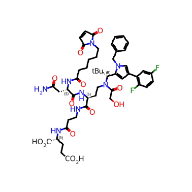 CC(C)(C)[C@H](c1cc(-c2cc(F)ccc2F)cn1Cc1ccccc1)N(CC[C@H](NC(=O)[C@H](CC(N)=O)NC(=O)CCCCCN1C(=O)C=CC1=O)C(=O)NCCC(=O)N[C@H](CCC(=O)O)C(=O)O)C(=O)CO